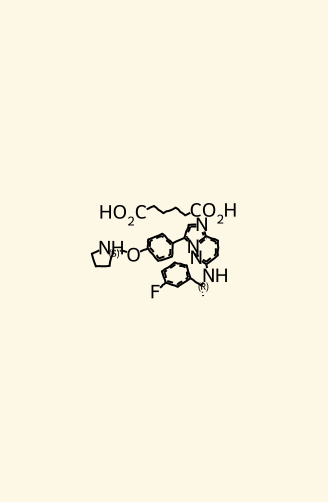 C[C@@H](Nc1ccc2ncc(-c3ccc(OC[C@@H]4CCCN4)cc3)n2n1)c1cccc(F)c1.O=C(O)CCCCC(=O)O